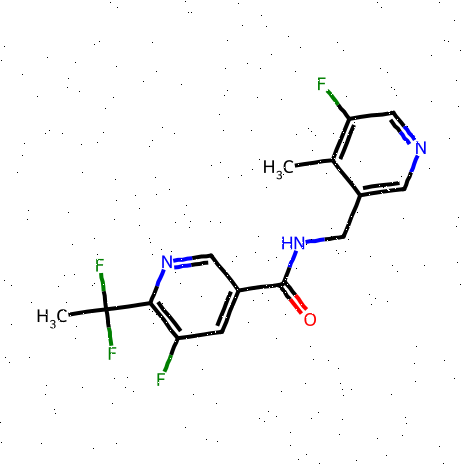 Cc1c(F)cncc1CNC(=O)c1cnc(C(C)(F)F)c(F)c1